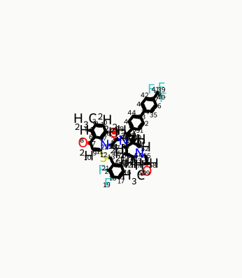 [2H]c1c(C)c([2H])c2c(=O)c([2H])c(SCc3cccc(F)c3F)n(CC(=O)N(C([2H])([2H])c3ccc(-c4ccc(C(F)(F)F)cc4)cc3)C3([2H])C([2H])([2H])C([2H])([2H])N(CC([2H])([2H])OC)C([2H])([2H])C3([2H])[2H])c2c1[2H]